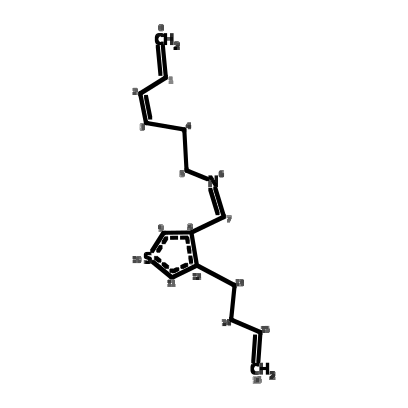 C=C/C=C\CC/N=C\c1cscc1CCC=C